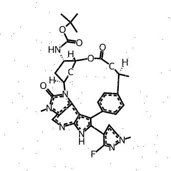 C[C@@H]1CC(=O)O[C@@H]2C[C@H](C[C@@H]2NC(=O)OC(C)(C)C)n2c(=O)n(C)c3cnc4[nH]c(-c5cn(C)nc5F)c(c4c32)-c2ccc1cc2